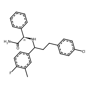 Cc1cc(C(CCc2ccc(Cl)cc2)N[C@@H](C(N)=O)c2ccccc2)ccc1F